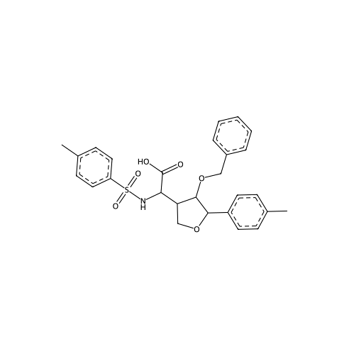 Cc1ccc(C2OCC(C(NS(=O)(=O)c3ccc(C)cc3)C(=O)O)C2OCc2ccccc2)cc1